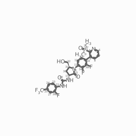 CP(C)(=O)c1ncccc1-c1ccc(N2C(=O)[C@H](NC(=O)Nc3ccc(C(F)(F)F)cc3F)C[C@H]2CO)c(F)c1F